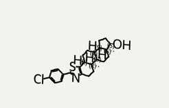 C[C@]12CCc3nc(-c4ccc(Cl)cc4)sc3[C@@H]1CC[C@@H]1[C@@H]2CC[C@]2(C)[C@@H](O)CC[C@@H]12